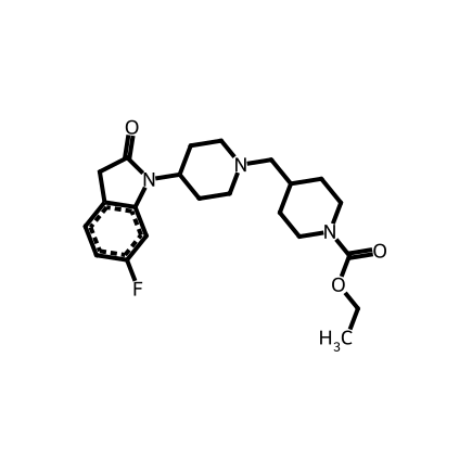 CCOC(=O)N1CCC(CN2CCC(N3C(=O)Cc4ccc(F)cc43)CC2)CC1